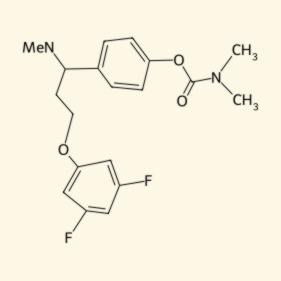 CNC(CCOc1cc(F)cc(F)c1)c1ccc(OC(=O)N(C)C)cc1